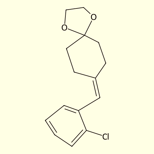 Clc1ccccc1C=C1CCC2(CC1)OCCO2